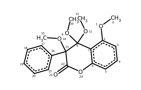 COc1cccc2c1C(OC)(OC)C(OC)(c1ccccc1)C(=O)O2